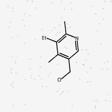 CCc1c(C)ncc(CCl)c1C